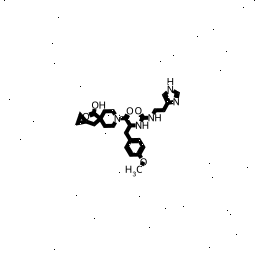 COc1ccc(CC(NC(=O)NCCc2c[nH]cn2)C(=O)N2CCC(CC3CC3)(C(=O)O)CC2)cc1